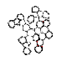 c1ccc(-c2cc3c4c(c2)N(c2cccc5c2oc2ccccc25)C2CC5C(CC2B4c2cc(C4(c6ccccc6)c6ccccc6-c6ccccc64)ccc2N3c2c(-c3ccccc3)cccc2-c2ccccc2)c2cccc3c4ccccc4n5c23)cc1